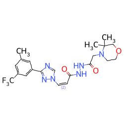 Cc1cc(-c2ncn(/C=C\C(=O)NNC(=O)CN3CCOCC3(C)C)n2)cc(C(F)(F)F)c1